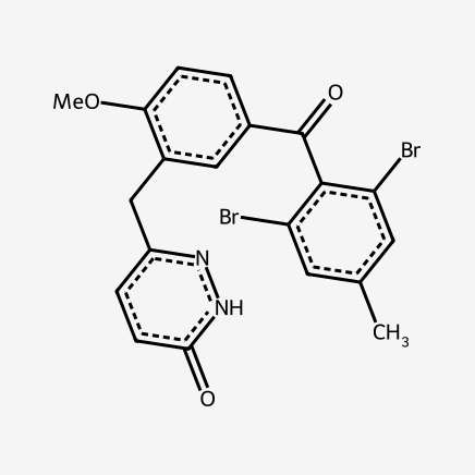 COc1ccc(C(=O)c2c(Br)cc(C)cc2Br)cc1Cc1ccc(=O)[nH]n1